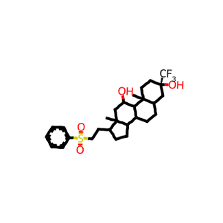 CC12CC(O)C3C(CCC4C[C@](O)(C(F)(F)F)CCC43C)C1CCC2CCS(=O)(=O)c1ccccc1